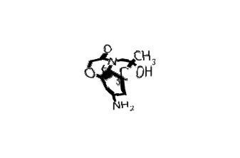 CC(C)(O)CN1C(=O)COc2cc(N)ccc21